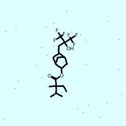 CCC(C)(C(=O)OC1CC2CC1CC2CC(O)(C(F)(F)F)C(F)(F)F)C(C)C